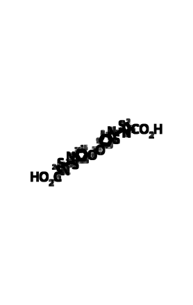 O=C(O)C1CSC(c2nc3ccc(OCOc4ccc5nc(C6=NC(C(=O)O)CS6)sc5c4)cc3s2)=N1